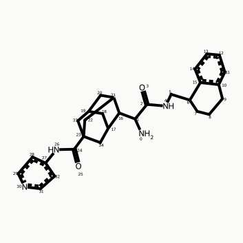 NC(C(=O)NCC1CCCc2ccccc21)C1C2CC3CC1CC(C(=O)Nc1ccncc1)(C3)C2